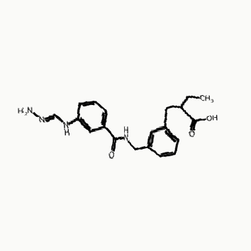 CCC(Cc1cccc(CNC(=O)c2cccc(NC=NN)c2)c1)C(=O)O